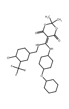 CC1(C)OC(=O)C(=C(NCC2CCC(Cl)C(C(F)(F)F)C2)NC2CCC(OC3CCCCC3)CC2)C(=O)O1